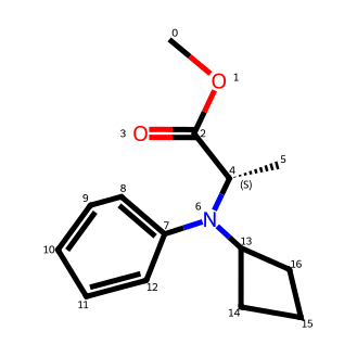 COC(=O)[C@H](C)N(c1ccccc1)C1CCC1